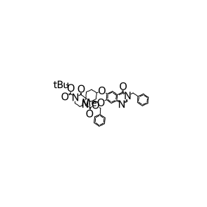 COc1cc2ncn(Cc3ccccc3)c(=O)c2cc1OC1CCC2(CC1)C(=O)N(C(=O)OC(C)(C)C)CCN2C(=O)OCc1ccccc1